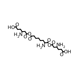 NC(CCC(=O)O)CC(=O)OC(=O)CCCCCC(N)C(=O)OC(=O)CC(N)CCC(=O)O